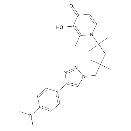 Cc1c(O)c(=O)ccn1C(C)(C)CC(C)(C)Cn1cc(-c2ccc(N(C)C)cc2)nn1